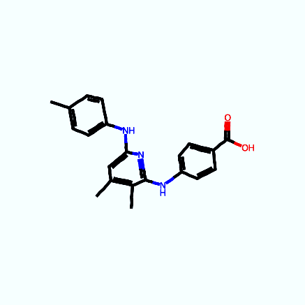 Cc1ccc(Nc2cc(C)c(C)c(Nc3ccc(C(=O)O)cc3)n2)cc1